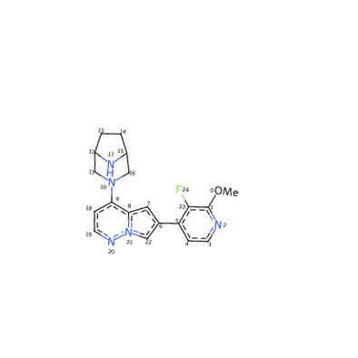 COc1nccc(-c2cc3c(N4CC5CCC(C4)N5)ccnn3c2)c1F